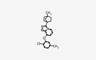 Cc1ccc(Cl)c(Oc2cccn3c(C45CCC(C)(CC4)C5)nnc23)c1